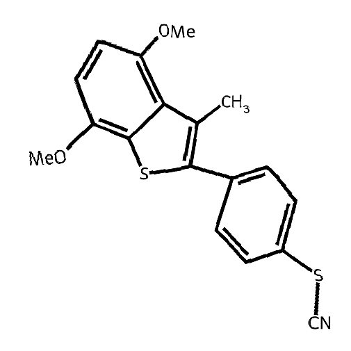 COc1ccc(OC)c2c(C)c(-c3ccc(SC#N)cc3)sc12